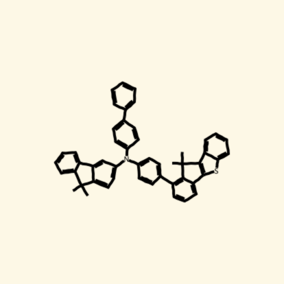 CC1(C)c2ccccc2-c2cc(N(c3ccc(-c4ccccc4)cc3)c3ccc(-c4cccc5c4C(C)(C)c4c-5sc5ccccc45)cc3)ccc21